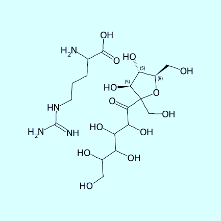 N=C(N)NCCCC(N)C(=O)O.O=C(C(O)C(O)C(O)C(O)CO)C1(CO)O[C@H](CO)[C@@H](O)[C@@H]1O